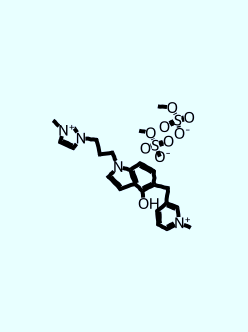 COS(=O)(=O)[O-].COS(=O)(=O)[O-].C[n+]1cccc(Cc2ccc3c(ccn3CCCn3cc[n+](C)c3)c2O)c1